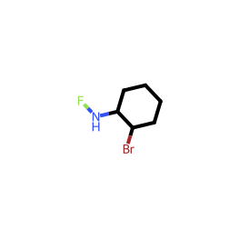 FNC1CCCCC1Br